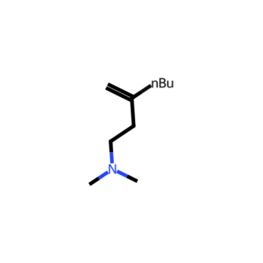 C=C(CCCC)CCN(C)C